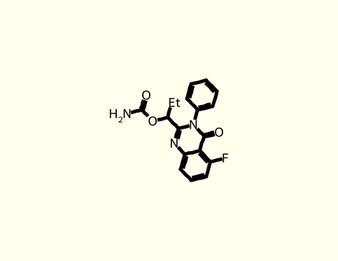 CCC(OC(N)=O)c1nc2cccc(F)c2c(=O)n1-c1ccccc1